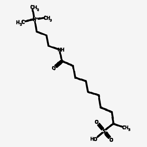 CC(CCCCCCCC(=O)NCCC[N+](C)(C)C)S(=O)(=O)O